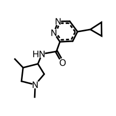 CC1CN(C)CC1NC(=O)c1cc(C2CC2)cnn1